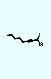 CCCCCC#CC(Br)I